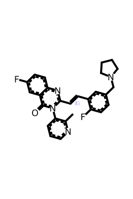 Cc1ncccc1-n1c(/C=C/c2cc(CN3CCCC3)ccc2F)nc2ccc(F)cc2c1=O